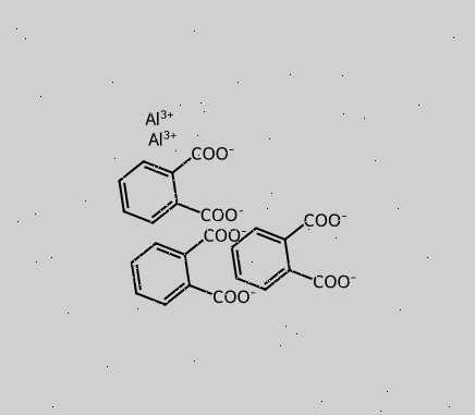 O=C([O-])c1ccccc1C(=O)[O-].O=C([O-])c1ccccc1C(=O)[O-].O=C([O-])c1ccccc1C(=O)[O-].[Al+3].[Al+3]